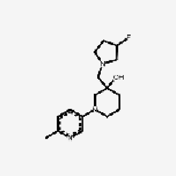 Cc1ccc(N2CCCC(O)(CN3CCC(F)C3)C2)cn1